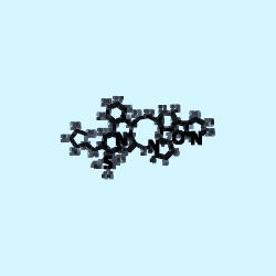 C=C1C[n+]2ccccc2-c2c(ccc3c2oc2ncccc23)CCC2c3ccccc3-c3cc(CC4CCCC4)c([Si](C)(C)C)c[n+]3C12